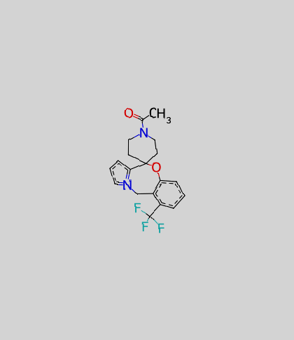 CC(=O)N1CCC2(CC1)Oc1cccc(C(F)(F)F)c1Cn1cccc12